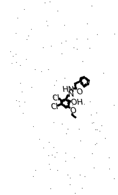 CCOc1cc(Cl)c(Cl)c(/C=N/NC(=O)Cc2ccccc2)c1O